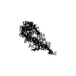 C/C=C/C[C@@H](C)[C@@H](OC(C)=O)[C@@H](C(=O)N[C@@H](CC)C(=O)OCCN(C)C(C)=O)N(C)C(=O)[C@H](C(C)C)N(C)C(=O)[C@H](CC(C)C)N(C)C(=O)[C@H](CC(C)C)N(C)C(=O)[C@@H](C)NC(=O)[C@H](C)NC(=O)[C@H](CC(C)C)N(C)C(=O)[C@@H](NC[C@H]([C@H](C)CCC(C)(C)O)N(C)C(=O)OC(C)(C)C)C(C)C